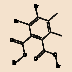 Cc1c(C)c(C(=O)OBr)c(C(=O)OBr)c(Br)c1Br